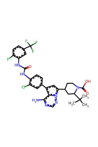 CC(C)(C)C1CC(c2cc(-c3ccc(NC(=O)Nc4cc(C(F)(F)F)ccc4F)c(Cl)c3)c3c(N)ncnn23)CCN1C(=O)O